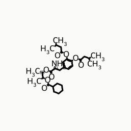 CC(C)CC(=O)Oc1ccc(C[C@H](N)C(=O)O[C@@H](C)C(C)OC(=O)C2CCCCC2)cc1OC(=O)CC(C)C